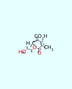 C=C(C=C(C)C(=O)OCCO)C(=O)O